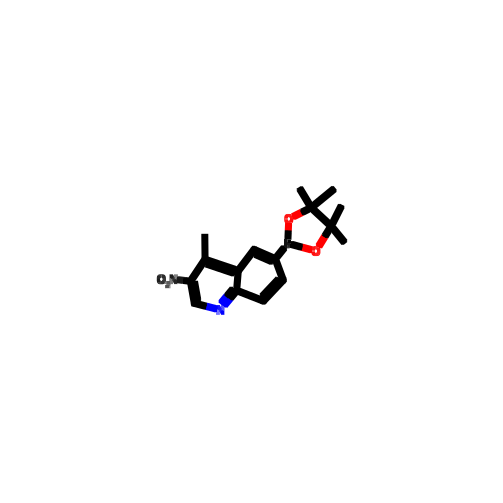 Cc1c([N+](=O)[O-])cnc2ccc(B3OC(C)(C)C(C)(C)O3)cc12